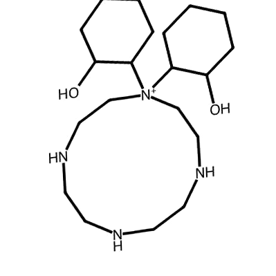 OC1CCCCC1[N+]1(C2CCCCC2O)CCNCCNCCNCC1